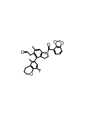 Cc1cc2c(c(-c3cc(F)c4c(c3C)CCCO4)c1CC=O)CCN2C(=O)c1cccc2c1OCO2